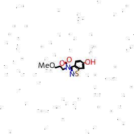 COCC1CN(c2nsc3cc(O)ccc23)C(=O)O1